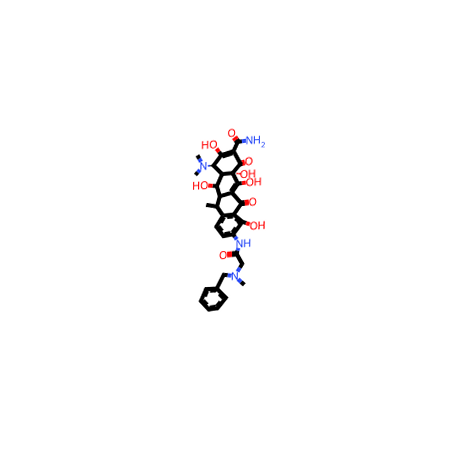 CC1c2ccc(NC(=O)CN(C)Cc3ccccc3)c(O)c2C(=O)C2=C(O)[C@]3(O)C(=O)C(C(N)=O)=C(O)[C@@H](N(C)C)C3C(O)C21